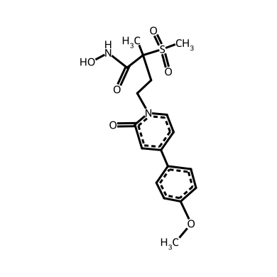 COc1ccc(-c2ccn(CCC(C)(C(=O)NO)S(C)(=O)=O)c(=O)c2)cc1